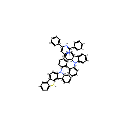 c1ccc(-c2cc(-c3ccc(-n4c5ccccc5c5c6sc7ccccc7c6ccc54)c(-c4ccccc4-n4c5ccccc5c5ccccc54)c3)nc(-c3ccccc3)n2)cc1